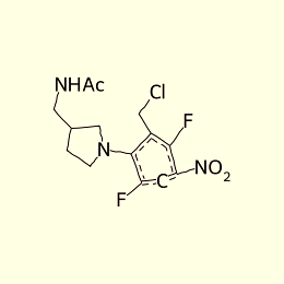 CC(=O)NCC1CCN(c2c(F)cc([N+](=O)[O-])c(F)c2CCl)C1